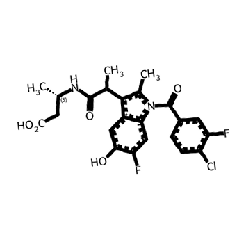 Cc1c(C(C)C(=O)N[C@@H](C)CC(=O)O)c2cc(O)c(F)cc2n1C(=O)c1ccc(Cl)c(F)c1